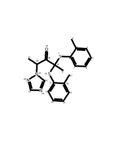 Cc1ccccc1SC(C)(Sc1ccccc1C)C(=O)C(C)n1cncn1